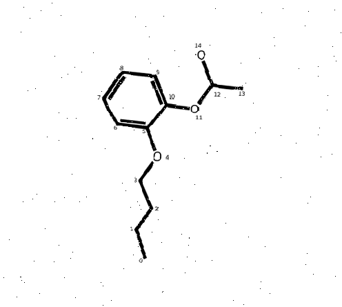 CCCCOc1ccccc1OC(C)[O]